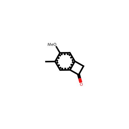 COc1cc2c(cc1C)C(=O)C2